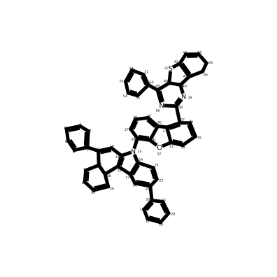 C1=CC2C(c3ccccc3)=Cc3c(c4cc(-c5ccccc5)ccc4n3-c3cccc4c3oc3cccc(C5=NC6C7=C(C=CCC7)SC6C(c6ccccc6)=N5)c34)C2C=C1